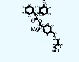 CC(C)OC(=O)COCC1CCC(COC(=O)N(c2ccccc2)c2cccc(F)c2)CC1.[MgH2]